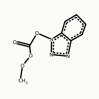 COOC(=O)On1nnc2ccccc21